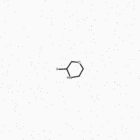 FC1COC[CH]N1